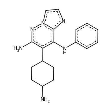 Nc1nn2ccnc2c(Nc2ccccc2)c1C1CCC(N)CC1